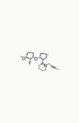 CC#CCN1CCCC[C@H]1c1c[c]ccc1Oc1cccc(OC)c1F